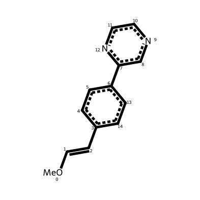 COC=Cc1ccc(-c2cnccn2)cc1